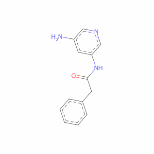 Nc1cncc(NC(=O)Cc2ccccc2)c1